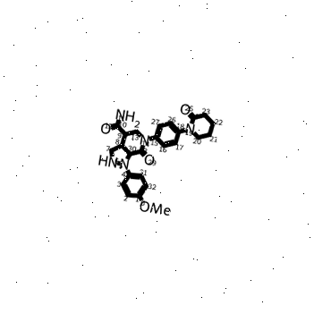 COc1ccc(N2NCC3C(C(N)=O)CN(c4ccc(N5CCCCC5=O)cc4)C(=O)C32)cc1